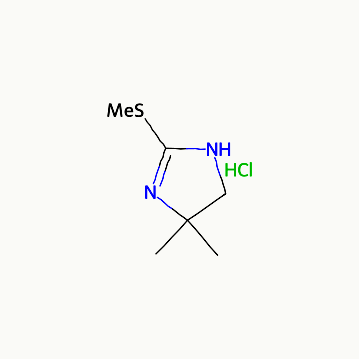 CSC1=NC(C)(C)CN1.Cl